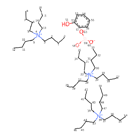 CCCC[N+](CCCC)(CCCC)CCCC.CCCC[N+](CCCC)(CCCC)CCCC.CCCC[N+](CCCC)(CCCC)CCCC.Oc1ccccc1.[O-]B([O-])[O-]